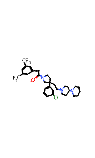 O=C(Cc1cc(C(F)(F)F)cc(C(F)(F)F)c1)N1CCC(CCN2CCC(N3CCCCC3)CC2)(c2cccc(Cl)c2)C1